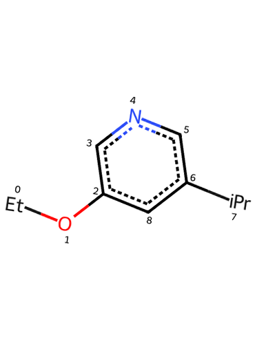 CCOc1cncc(C(C)C)c1